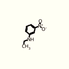 CCNc1cccc([N+](=O)[O-])c1